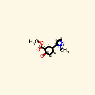 COC(=O)C1CC(c2ccnn2C)CCC1=O